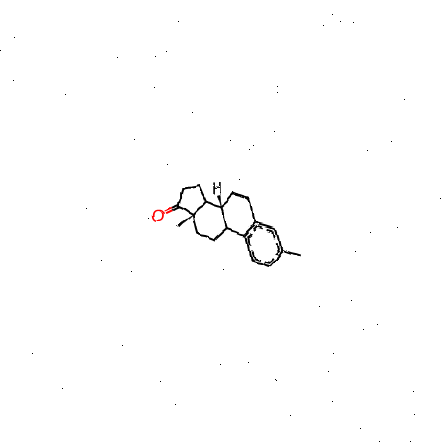 Cc1ccc2c(c1)CC[C@@H]1C2CC[C@]2(C)C(=O)CCC12